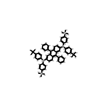 CC(C)(C)c1ccc(N(c2ccc([Si](C)(C)C)cc2)c2ccc3c(-c4ccccc4)c4cc(N(c5ccc(C(C)(C)C)cc5)c5ccc([Si](C)(C)C)cc5)ccc4c(-c4ccccc4)c3c2)cc1